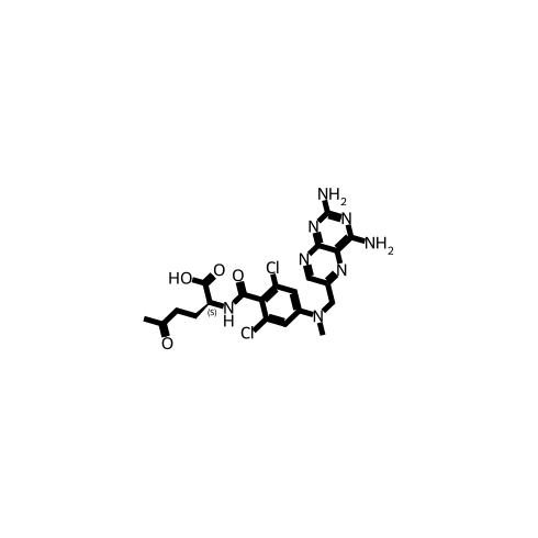 CC(=O)CC[C@H](NC(=O)c1c(Cl)cc(N(C)Cc2cnc3nc(N)nc(N)c3n2)cc1Cl)C(=O)O